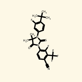 CC(C)(C)c1ccc(N2C(=S)N(c3ccc(C#N)c(C(F)(F)F)c3F)C(=O)C2(C)C)cc1F